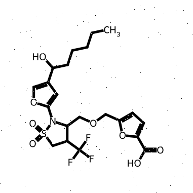 CCCCCC(O)c1coc(N2C(COCc3ccc(C(=O)O)o3)C(C(F)(F)F)CS2(=O)=O)c1